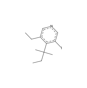 CCc1cncc(I)c1C(C)(C)CC